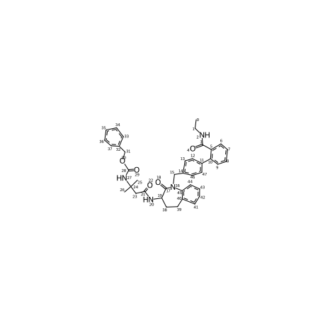 CCNC(=O)c1ccccc1-c1ccc(CN2C(=O)C(NC(=O)CC(C)(C)NC(=O)OCc3ccccc3)CCc3ccccc32)cc1